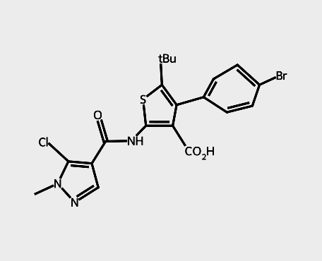 Cn1ncc(C(=O)Nc2sc(C(C)(C)C)c(-c3ccc(Br)cc3)c2C(=O)O)c1Cl